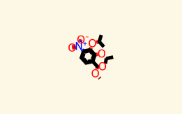 COC(=O)c1ccc([N+](=O)[O-])c(OC(C)C)c1OC(C)C